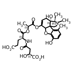 Cc1ccc(O)c2c1C13CCN(C)[C@H](C)[C@]1(O)CC=C(OC(=O)[C@H](C)OC(=O)[C@H](CCC(=O)O)NC(=O)C[C@H](O)C(=O)O)C3O2